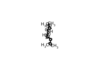 Cc1cc(-c2cccc(-c3csc(NC(=O)CNC(=O)c4cccc(S(=O)(=O)C(C)C)c4)n3)c2)cc(C)n1